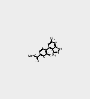 CNC(=O)c1ccc(-c2cc(C(F)(F)F)cc3[nH]ncc23)c(OC)c1